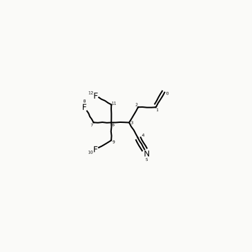 C=CCC(C#N)C(CF)(CF)CF